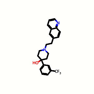 OC1(c2cccc(C(F)(F)F)c2)CCN(CCc2ccc3ncccc3c2)CC1